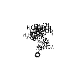 CC(C)(C)[Si](C)(C)OC[C@H]1O[C@@H](n2cnc3c(O)nc(-n4cc(-c5ccccc5)nn4)nc32)[C@H](O[Si](C)(C)C(C)(C)C)[C@@H]1O[Si](C)(C)C(C)(C)C